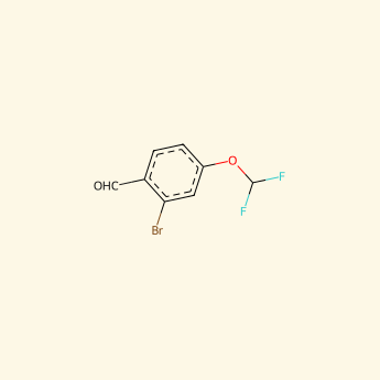 O=Cc1ccc(OC(F)F)cc1Br